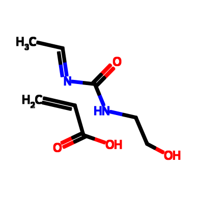 C=CC(=O)O.CC=NC(=O)NCCO